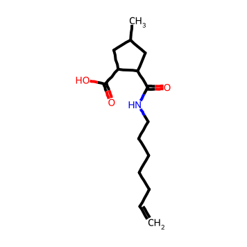 C=CCCCCCNC(=O)C1CC(C)CC1C(=O)O